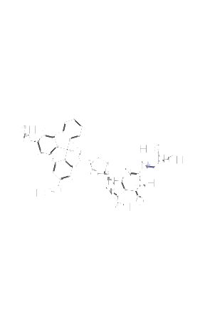 COc1ccc(C(OC[C@@H]2CC[C@H](n3nc(C)c4c(=O)[nH]c(/N=C/N(C)C)nc43)O2)(c2ccccc2)c2ccc(OC)cc2)cc1